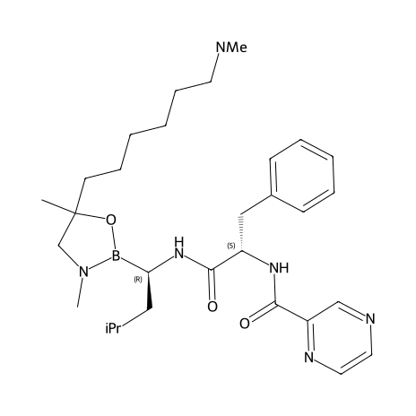 CNCCCCCCC1(C)CN(C)B([C@H](CC(C)C)NC(=O)[C@H](Cc2ccccc2)NC(=O)c2cnccn2)O1